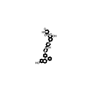 O=C1CCC(NCc2cc(N3CCC(O)(CN4CCN(c5ccc([C@@H]6c7ccc(O)cc7CC[C@@H]6c6ccccc6)cc5)CC4)CC3)ccc2C(=O)O)C(=O)N1